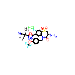 CC(C)(C#N)c1nnc(-c2cc3c(cc2F)S(=O)(=O)C[C@H](N)C(=O)N3Cc2ccc(OC(F)(F)F)cc2)o1.Cl